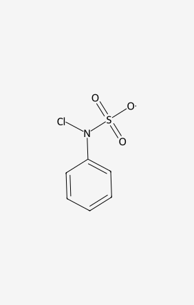 [O]S(=O)(=O)N(Cl)c1ccccc1